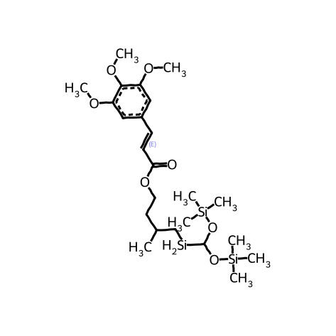 COc1cc(/C=C/C(=O)OCCC(C)C[SiH2]C(O[Si](C)(C)C)O[Si](C)(C)C)cc(OC)c1OC